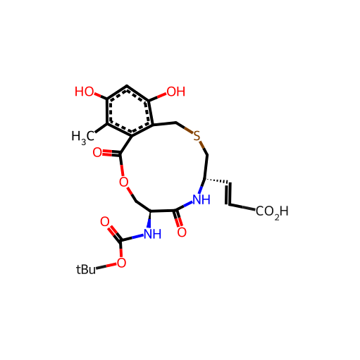 Cc1c(O)cc(O)c2c1C(=O)OC[C@H](NC(=O)OC(C)(C)C)C(=O)N[C@@H](C=CC(=O)O)CSC2